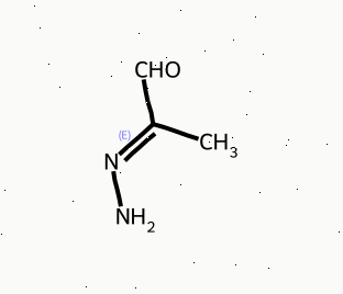 C/C(C=O)=N\N